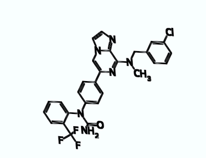 CN(Cc1cccc(Cl)c1)c1nc(-c2ccc(N(C(N)=O)c3ccccc3C(F)(F)F)cc2)cn2ccnc12